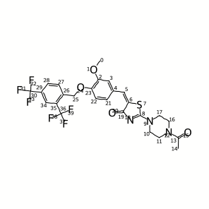 COc1cc(/C=C2/SC(N3CCN(C(C)=O)CC3)=NC2=O)ccc1OCc1ccc(C(F)(F)F)cc1C(F)(F)F